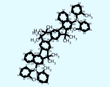 Cc1ccccc1N(c1ccccc1C)c1cc2c(c3ccccc13)-c1cc3c(cc1C2(C)C)-c1cc2c(cc1C(C)(C)C3(C)C)-c1c(cc(N(c3ccccc3C)c3ccccc3C)c3ccccc13)C2(C)C